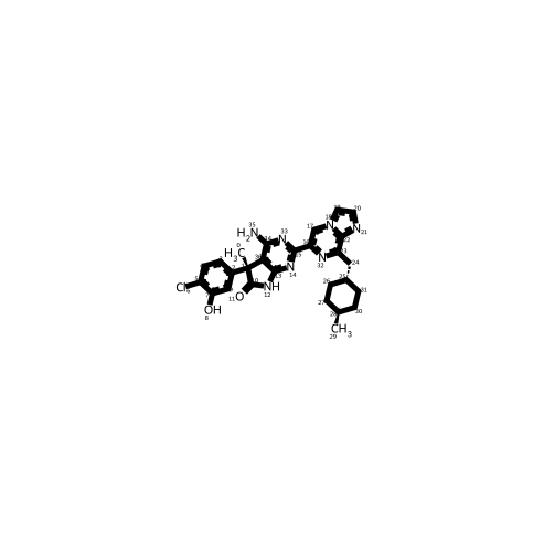 C[C@]1(c2ccc(Cl)c(O)c2)C(=O)Nc2nc(-c3cn4ccnc4c(C[C@H]4CC[C@H](C)CC4)n3)nc(N)c21